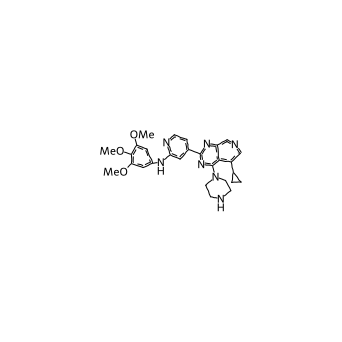 COc1cc(Nc2cc(-c3nc(N4CCNCC4)c4c(C5CC5)cncc4n3)ccn2)cc(OC)c1OC